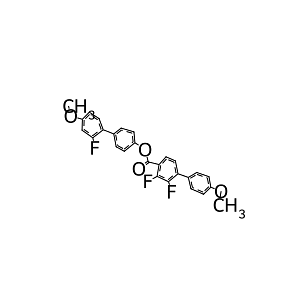 COc1ccc(-c2ccc(C(=O)Oc3ccc(-c4ccc(OC)cc4F)cc3)c(F)c2F)cc1